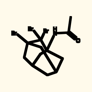 CC(=O)NC12CC3CC(CC(Br)(C3)C1(Br)Br)C2